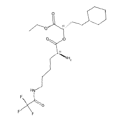 CCOC(=O)[C@H](CCC1CCCCC1)OC(=O)[C@@H](N)CCCCNC(=O)C(F)(F)F